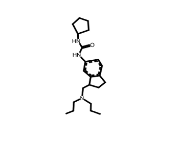 CCCN(CCC)CC1CCc2ccc(NC(=O)NC3CCCC3)cc21